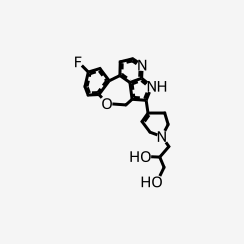 OCC(O)CN1CC=C(c2[nH]c3nccc4c3c2COc2ccc(F)cc2-4)CC1